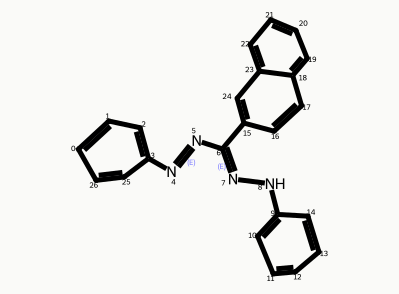 c1ccc(/N=N/C(=N/Nc2ccccc2)c2ccc3ccccc3c2)cc1